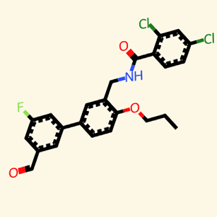 CCCOc1ccc(-c2cc(F)cc(C=O)c2)cc1CNC(=O)c1ccc(Cl)cc1Cl